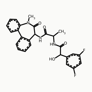 CC(NC(=O)C(O)c1cc(F)cc(F)c1)C(=O)NC1C(=O)N(C)c2ccccc2-c2ccccc21